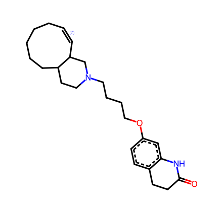 O=C1CCc2ccc(OCCCCN3CCC4CCCCC/C=C\C4C3)cc2N1